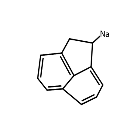 [Na][CH]1Cc2cccc3cccc1c23